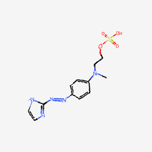 CN(CCOS(=O)(=O)O)c1ccc(N=Nc2ncc[nH]2)cc1